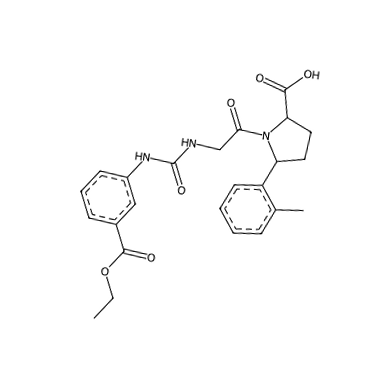 CCOC(=O)c1cccc(NC(=O)NCC(=O)N2C(C(=O)O)CCC2c2ccccc2C)c1